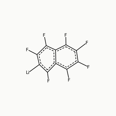 [Li][c]1c(F)c(F)c2c(F)c(F)c(F)c(F)c2c1F